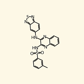 Cc1cccc(S(=O)(=O)Nc2nc3ccccc3nc2Nc2ccc3nsnc3c2)c1